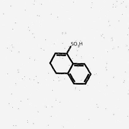 O=S(=O)(O)C1=CCCc2ccccc21